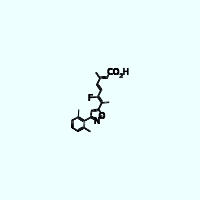 CC(C=CC(F)=C(C)c1cc(-c2c(C)cccc2C)no1)=CC(=O)O